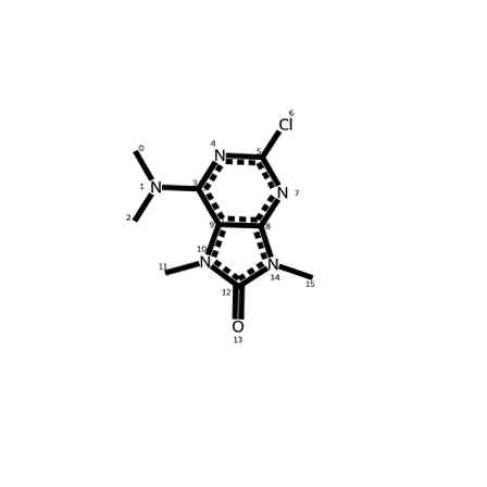 CN(C)c1nc(Cl)nc2c1n(C)c(=O)n2C